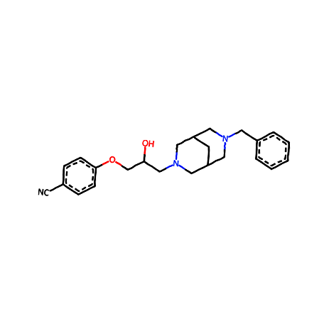 N#Cc1ccc(OCC(O)CN2CC3CC(CN(Cc4ccccc4)C3)C2)cc1